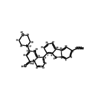 CNc1ccc2sc3c(-c4cccn5c(=O)cc(N6CCOCC6)nc45)cccc3c2c1